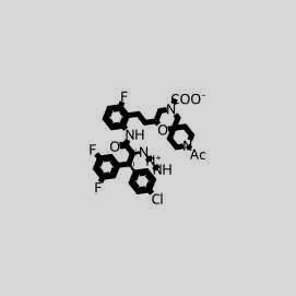 CC(=O)N1CCC2(CC1)CN(C(=O)[O-])CC(CCc1c(F)cccc1NC(=O)[C@@H](N=[N+]=N)[C@@H](c1ccc(Cl)cc1)c1cc(F)cc(F)c1)O2